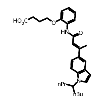 CCCCC(CCC)n1ccc2cc(/C(C)=C/C(=O)Nc3ccccc3OCCCC(=O)O)ccc21